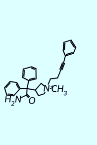 C[N@@+]1(CCC#Cc2ccccc2)CCC(C(C(N)=O)(c2ccccc2)c2ccccc2)C1